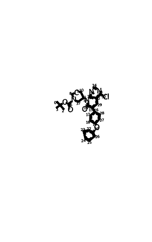 CC(C)(C)OC(=O)N1CCC[C@@H](n2c(=O)c(-c3ccc(Oc4ccccc4)cc3)cc3c(Cl)ncnc32)C1